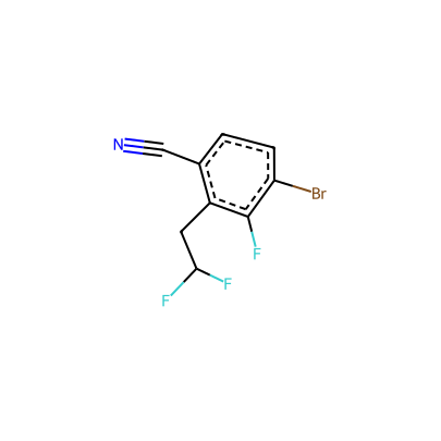 N#Cc1ccc(Br)c(F)c1CC(F)F